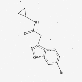 O=C(Cc1noc2cc(Br)ccc12)NC1CC1